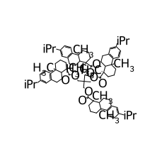 CC(C)c1ccc2c(c1)CCC1[C@](C)(C(=O)OCC(COC(=O)[C@]3(C)CCC[C@@]4(C)c5ccc(C(C)C)cc5CCC34)(COC(=O)[C@@]3(C)CCC[C@]4(C)c5ccc(C(C)C)cc5CCC34)COC(=O)[C@@]3(C)CCC[C@]4(C)c5ccc(C(C)C)cc5CCC34)CCC[C@@]21C